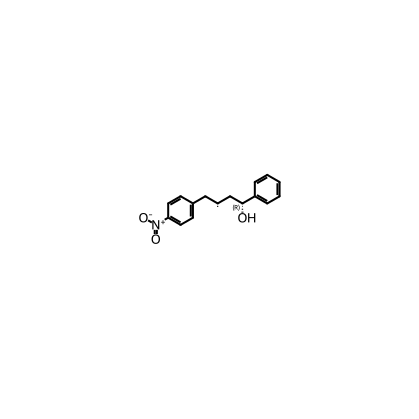 O=[N+]([O-])c1ccc(C[CH]C[C@@H](O)c2ccccc2)cc1